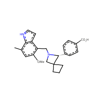 COc1cc(C)c2[nH]ccc2c1CN1CC2(CCC2)[C@H]1c1ccc(C(=O)O)cc1